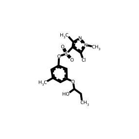 CCC(O)Oc1cc(C)cc(OS(=O)(=O)c2c(C)nn(C)c2Cl)c1